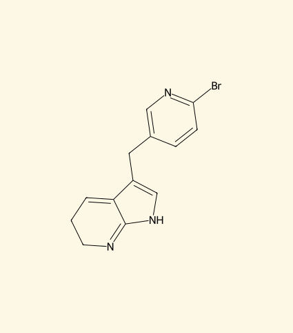 Brc1ccc(Cc2c[nH]c3c2=CCCN=3)cn1